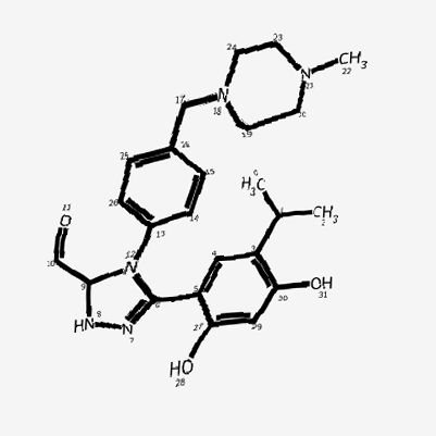 CC(C)c1cc(C2=NNC(C=O)N2c2ccc(CN3CCN(C)CC3)cc2)c(O)cc1O